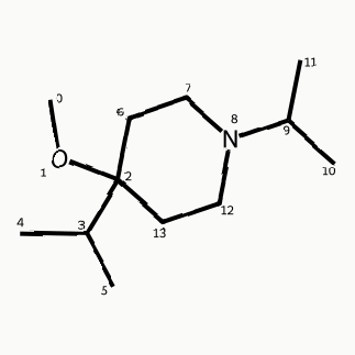 COC1(C(C)C)CCN(C(C)C)CC1